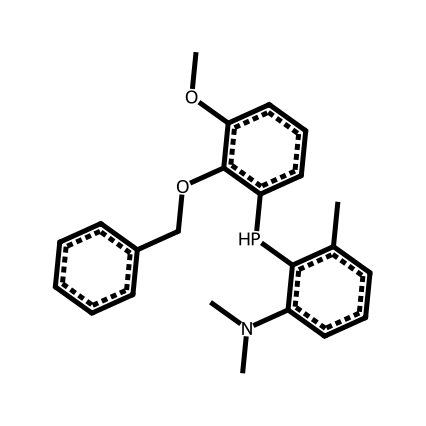 COc1cccc(Pc2c(C)cccc2N(C)C)c1OCc1ccccc1